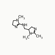 CC1=NCC(CNC2=NCCN2C)N1C